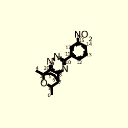 CC1OC2(C)CCC1c1nc(-c3cccc([N+](=O)[O-])c3)nnc12